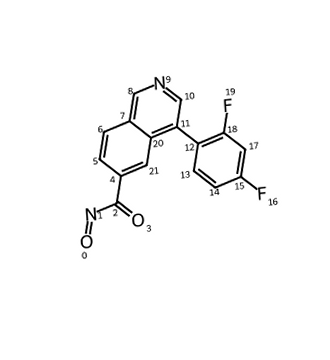 O=NC(=O)c1ccc2cncc(-c3ccc(F)cc3F)c2c1